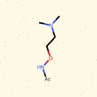 CC(=O)NOCCN(C)C